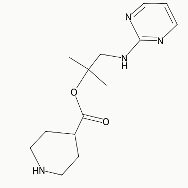 CC(C)(CNc1ncccn1)OC(=O)C1CCNCC1